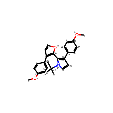 COc1ccc(-c2ccoc2-c2c(-c3ccc(OC)cc3)ccn2C(C)(C)C)cc1